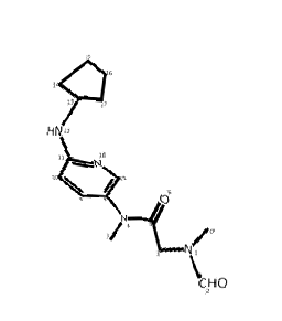 CN(C=O)CC(=O)N(C)c1ccc(NC2CCCC2)nc1